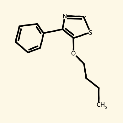 CCCCOc1s[c]nc1-c1ccccc1